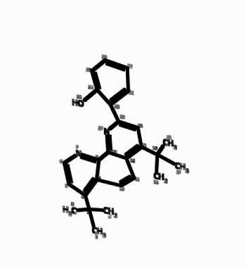 CC(C)(C)c1ccnc2c1ccc1c(C(C)(C)C)cc(-c3ccccc3O)nc12